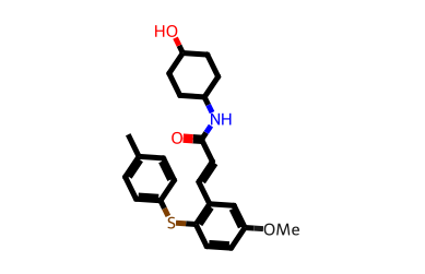 COc1ccc(Sc2ccc(C)cc2)c(C=CC(=O)NC2CCC(O)CC2)c1